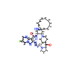 CN1CCC[C@@H]1C(=O)C1CCN(C2CC3(CCCCCCCCCC3)NCC2NC(=O)c2c(N)nn3cc(F)cnc23)CC1